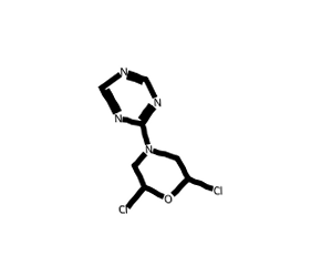 ClC1CN(c2ncncn2)CC(Cl)O1